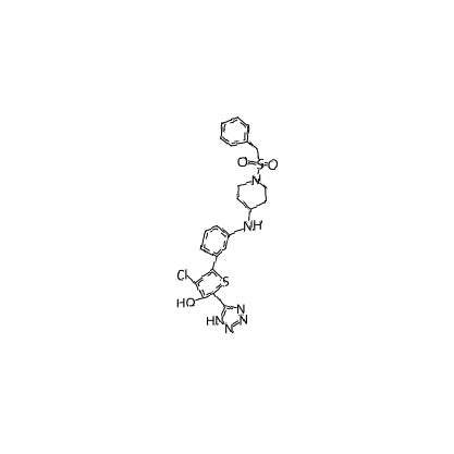 O=S(=O)(Cc1ccccc1)N1CCC(Nc2cccc(-c3sc(-c4nnn[nH]4)c(O)c3Cl)c2)CC1